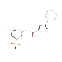 CS(=O)(=O)c1cc(Cl)cc(NC(=O)c2cc(C3CCNCC3)cs2)c1